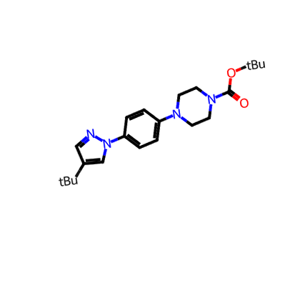 CC(C)(C)OC(=O)N1CCN(c2ccc(-n3cc(C(C)(C)C)cn3)cc2)CC1